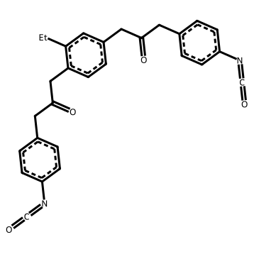 CCc1cc(CC(=O)Cc2ccc(N=C=O)cc2)ccc1CC(=O)Cc1ccc(N=C=O)cc1